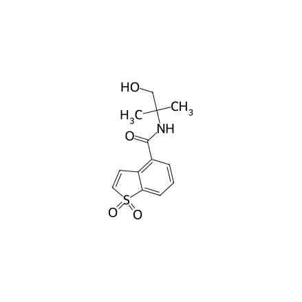 CC(C)(CO)NC(=O)c1cccc2c1C=CS2(=O)=O